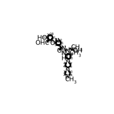 CN1CCN(C2CCN(c3ccc4c(c3)[nH]/c(=N\C(=O)c3ccnc(Oc5cccc(O)c5C=O)c3)n4CC(C)(C)O)CC2)CC1